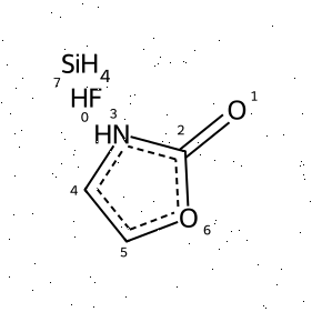 F.O=c1[nH]cco1.[SiH4]